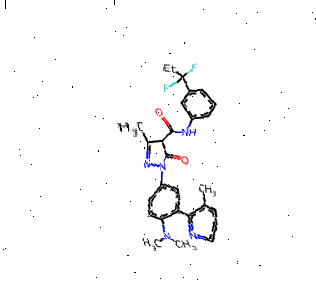 CCC(F)(F)c1cccc(NC(=O)C2C(=O)N(c3ccc(N(C)C)c(-c4ncccc4C)c3)N=C2C)c1